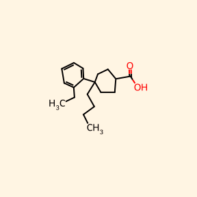 CCCCC1(c2ccccc2CC)CCC(C(=O)O)CC1